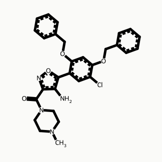 CN1CCN(C(=O)c2noc(-c3cc(Cl)c(OCc4ccccc4)cc3OCc3ccccc3)c2N)CC1